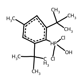 Cc1cc(C(C)(C)C)c([PH](O)(Cl)Cl)c(C(C)(C)C)c1